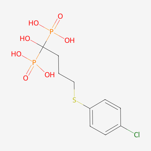 O=P(O)(O)C(O)(CCCSc1ccc(Cl)cc1)P(=O)(O)O